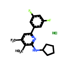 Cl.O=C(O)c1c(C(F)(F)F)cc(-c2cc(F)cc(F)c2)nc1NC1CCCC1